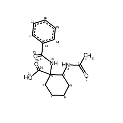 CC(=O)NC1CCCCC1(NC(=O)c1ccccc1)C(=O)O